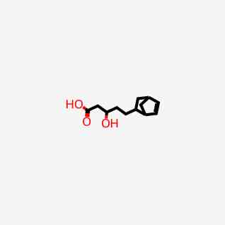 O=C(O)CC(O)CCC1CC2C=CC1C2